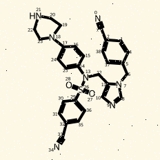 N#Cc1ccc(Cn2cncc2CN(c2ccc(N3CCNCC3)cc2)S(=O)(=O)c2ccc(C#N)cc2)cc1